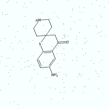 Nc1ccc2c(c1)C(=O)CC1(CCNCC1)S2